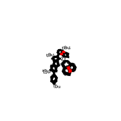 CC(C)(C)c1ccc(-c2cc3c(cc2C(C)(C)C)-c2cc(C(C)(C)C)c(-c4ccc(C(C)(C)C)cc4)[c]([Zr]([C]4=CC=CC4)=[C](Cc4ccccc4)Cc4ccccc4)c2C3)cc1